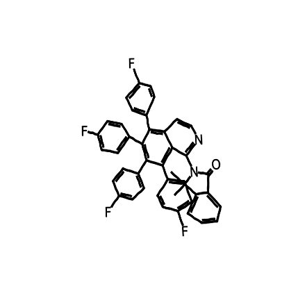 CC1(C)c2ccccc2C(=O)N1c1nccc2c(-c3ccc(F)cc3)c(-c3ccc(F)cc3)c(-c3ccc(F)cc3)c(-c3ccc(F)cc3)c12